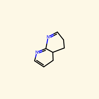 C1=CN=C2N=CCCC2C1